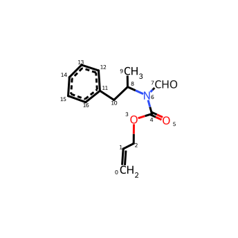 C=CCOC(=O)N(C=O)C(C)Cc1ccccc1